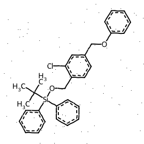 CC(C)(C)[Si](OCc1ccc(COc2ccccc2)cc1Cl)(c1ccccc1)c1ccccc1